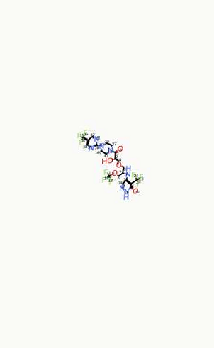 O=C(C(O)COCC(COC(F)(F)F)Nc1cn[nH]c(=O)c1C(F)(F)F)N1CCN(c2ncc(C(F)(F)F)cn2)CC1